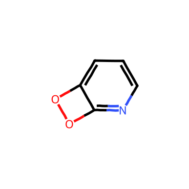 c1cnc2ooc2c1